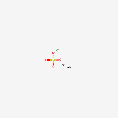 O=S(=O)([O-])[O-].[Al].[Cl-].[Fe+3]